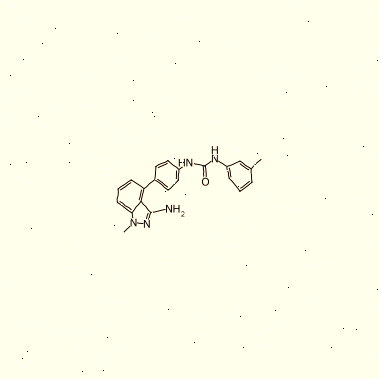 Cc1cccc(NC(=O)Nc2ccc(-c3cccc4c3c(N)nn4C)cc2)c1